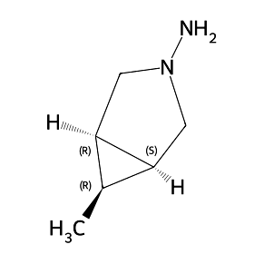 C[C@H]1[C@H]2CN(N)C[C@@H]12